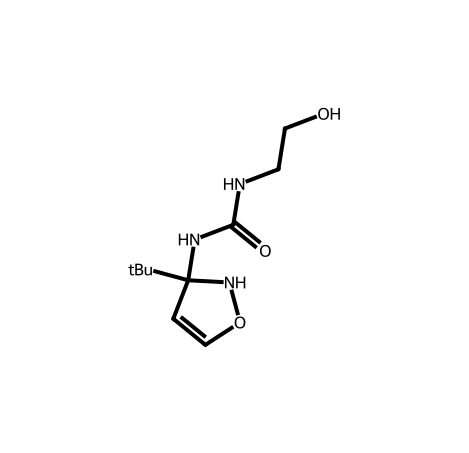 CC(C)(C)C1(NC(=O)NCCO)C=CON1